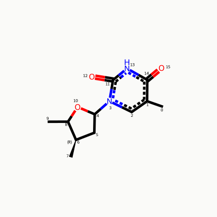 Cc1cn(C2C[C@@H](C)C(C)O2)c(=O)[nH]c1=O